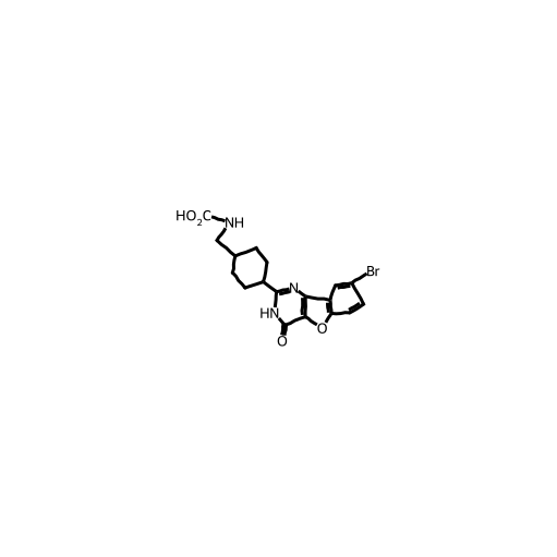 O=C(O)NCC1CCC(c2nc3c(oc4ccc(Br)cc43)c(=O)[nH]2)CC1